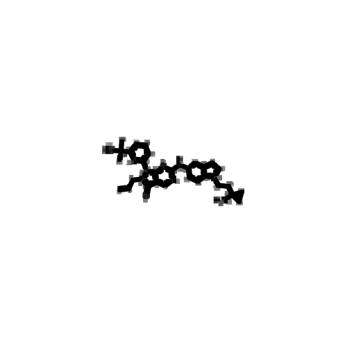 C=CCn1c(=O)c2cnc(Nc3ccc4c(ccn4CCC4(N)CC4)c3)nc2n1-c1cccc(C(C)(C)O)n1